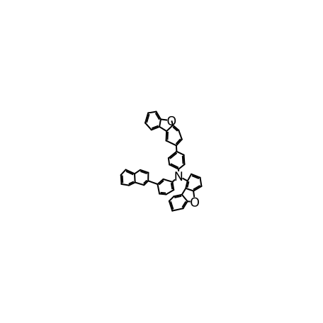 c1cc(-c2ccc3ccccc3c2)cc(N(c2ccc(-c3ccc4oc5ccccc5c4c3)cc2)c2cccc3oc4ccccc4c23)c1